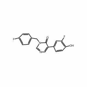 O=c1c(-c2ccc(O)c(F)c2)cncn1Cc1ccc(F)cc1